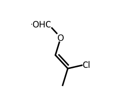 CC(Cl)=CO[C]=O